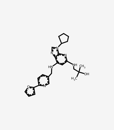 CC(C)(O)CNc1cc(NCc2ccc(-c3ccco3)nc2)c2ncn(C3CCCC3)c2n1